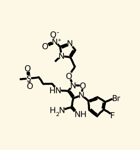 Cn1c(CON2ON(c3ccc(F)c(Br)c3)C(C(=N)N)=C2NCCCS(C)(=O)=O)cnc1[N+](=O)[O-]